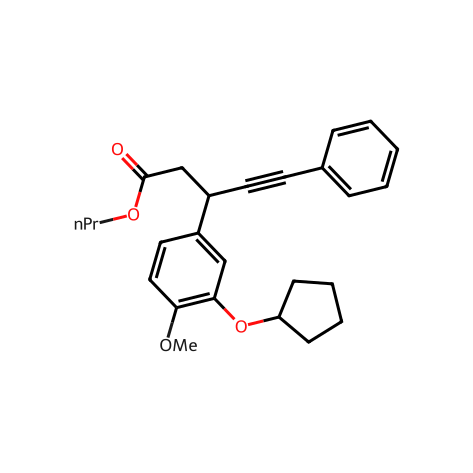 CCCOC(=O)CC(C#Cc1ccccc1)c1ccc(OC)c(OC2CCCC2)c1